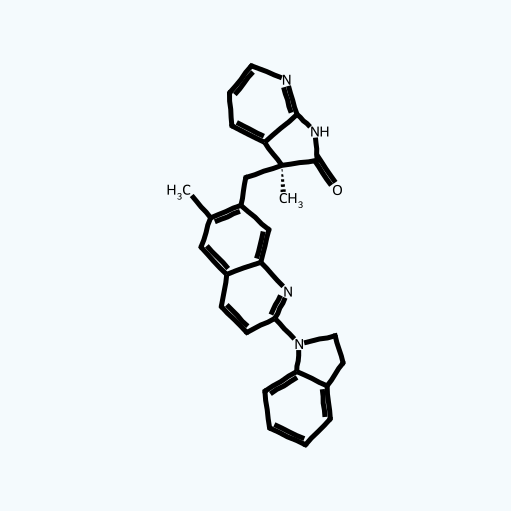 Cc1cc2ccc(N3CCc4ccccc43)nc2cc1C[C@]1(C)C(=O)Nc2ncccc21